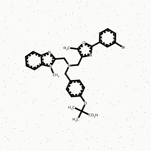 Cc1oc(-c2cccc(Br)c2)nc1CN(Cc1ccc(OC(C)(C)C(=O)O)cc1)Cc1nc2ccccc2n1C